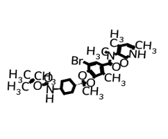 Cc1cc(C)c(N(C)C(=O)c2cc(Br)c3c(c2C)OC(C)([C@H]2CC[C@H](NC(=O)OC(C)(C)C)CC2)O3)c(=O)[nH]1